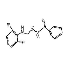 O=C(NSCNc1c(F)cncc1F)c1ccccc1